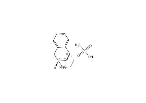 CS(=O)(=O)O.c1ccc2c(c1)C[C@H]1NCC[C@@]23CCCC[C@@H]13